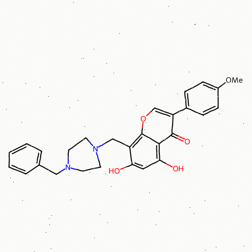 COc1ccc(-c2coc3c(CN4CCN(Cc5ccccc5)CC4)c(O)cc(O)c3c2=O)cc1